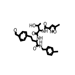 Cc1ccc(CNC(=O)C(CCc2ccc(C=O)cc2)NC(=O)C(NC(=O)c2cc(C)on2)C(C)O)cc1